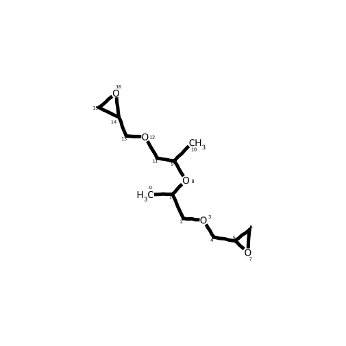 CC(COCC1CO1)OC(C)COCC1CO1